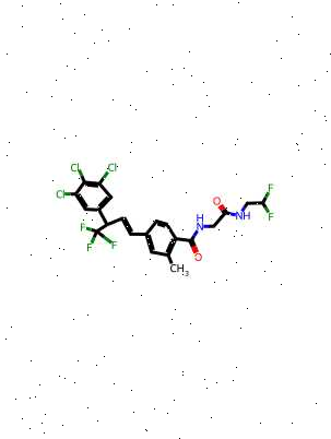 Cc1cc(/C=C/C(c2cc(Cl)c(Cl)c(Cl)c2)C(F)(F)F)ccc1C(=O)NCC(=O)NCC(F)F